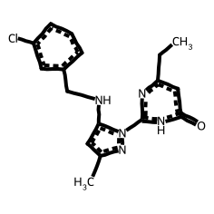 CCc1cc(=O)[nH]c(-n2nc(C)cc2NCc2cccc(Cl)c2)n1